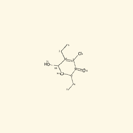 CCC1=C(Cl)C(=O)C(CC)OC1O